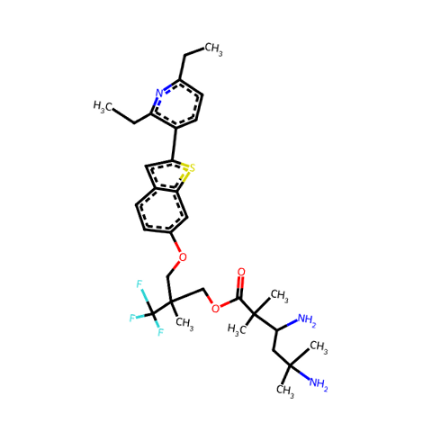 CCc1ccc(-c2cc3ccc(OCC(C)(COC(=O)C(C)(C)C(N)CC(C)(C)N)C(F)(F)F)cc3s2)c(CC)n1